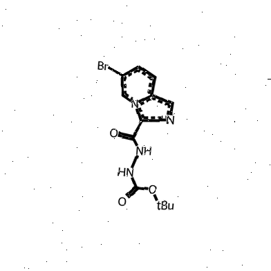 CC(C)(C)OC(=O)NNC(=O)c1ncc2ccc(Br)cn12